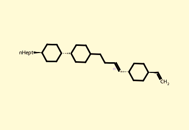 C=C[C@H]1CC[C@H](/C=C/CCC2CCC([C@H]3CC[C@H](CCCCCCC)CC3)CC2)CC1